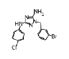 Nc1nc(Nc2ccc(Cl)cc2)nn1Cc1cccc(Br)c1